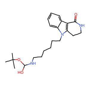 CC(C)(C)OC(O)NCCCCCCn1c2c(c3ccccc31)C(=O)NCC2